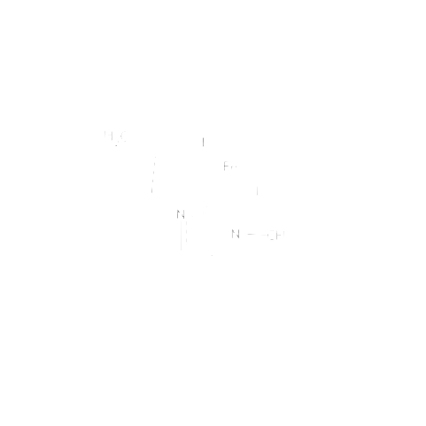 C=CCn1cc[n+](C)c1.[I][Fe][I]